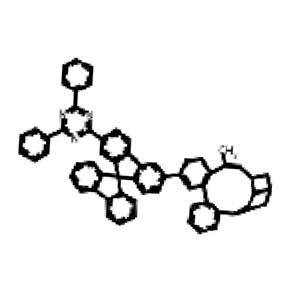 CC1CC2CC3CC(CC23)c2ccccc2C2=C1CCC(c1ccc3c(c1)-c1ccc(-c4nc(-c5ccccc5)nc(-c5ccccc5)n4)cc1C31c3ccccc3-c3ccccc31)=C2